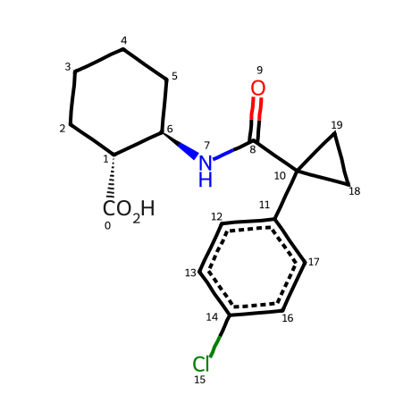 O=C(O)[C@@H]1CCCC[C@H]1NC(=O)C1(c2ccc(Cl)cc2)CC1